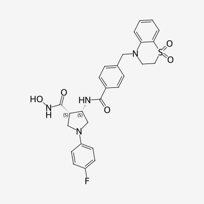 O=C(N[C@@H]1CN(c2ccc(F)cc2)C[C@@H]1C(=O)NO)c1ccc(CN2CCS(=O)(=O)c3ccccc32)cc1